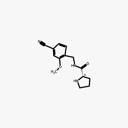 COc1cc(C#N)ccc1CNC(=O)[C@@H]1CCCN1